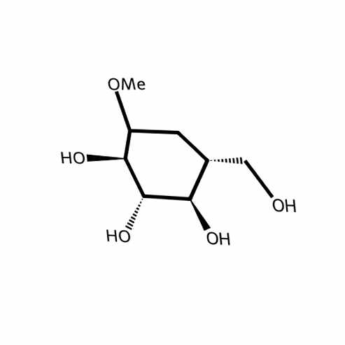 COC1C[C@H](CO)[C@@H](O)[C@H](O)[C@H]1O